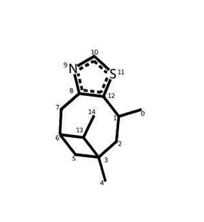 CC1CC2(C)CC(Cc3ncsc31)C2C